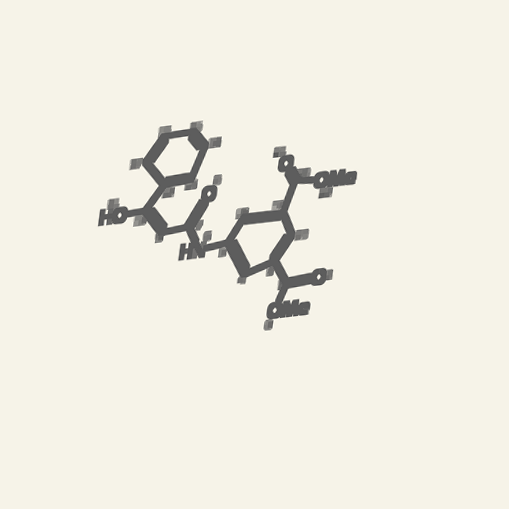 COC(=O)c1cc(NC(=O)/C=C(/O)c2ccccc2)cc(C(=O)OC)c1